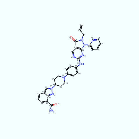 C=CCn1c(=O)c2cnc(Nc3ccc(N4CCC(n5cc6cccc(C(N)=O)c6n5)CC4)cc3)nc2n1-c1ccccn1